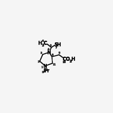 CC(C)N1CCN(C(C)S)C(CC(=O)O)C1